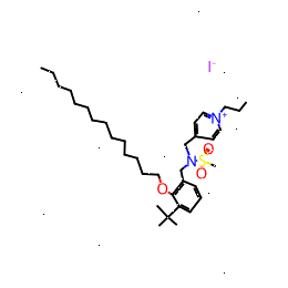 CCCCCCCCCCCCCCOc1c(CN(Cc2cc[n+](CCC)cc2)S(C)(=O)=O)cccc1C(C)(C)C.[I-]